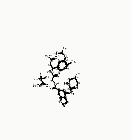 O=C(O)C(F)(F)F.O=C(O)CC(NC(=O)CNC(=O)c1cc(NC2=NCC(F)CN2)c2cn[nH]c2c1)c1ccc(F)c(OC(F)F)c1